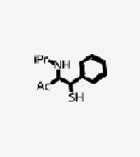 CC(=O)C(NC(C)C)C(S)c1ccccc1